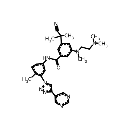 Cc1ccc(NC(=O)c2cc(N(C)CCN(C)C)cc(C(C)(C)C#N)c2)cc1-n1cc(-c2cncnc2)nn1